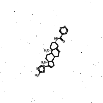 Cc1cn(C2=CCC3C4CC=C5C[C@@H](NC(=O)c6ccnnc6)CC[C@]5(C)C4CC[C@]23C)cn1